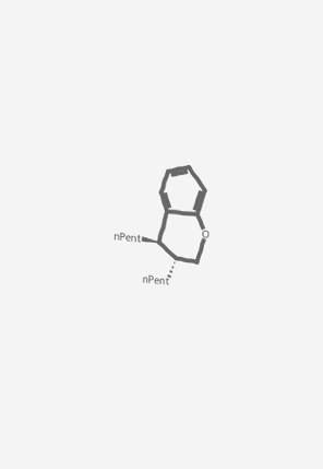 CCCCC[C@H]1COc2ccccc2[C@@H]1CCCCC